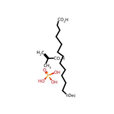 C=C(C)C(=O)O.CCCCCCCCCCCCCCCCCCCCCC(=O)O.O=P(O)(O)O